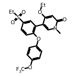 CCOc1cc(=O)n(C)cc1-c1cc(S(=O)(=O)CC)ccc1Oc1ccc(OC(F)(F)F)cc1